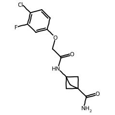 NC(=O)C12CC(NC(=O)COc3ccc(Cl)c(F)c3)(C1)C2